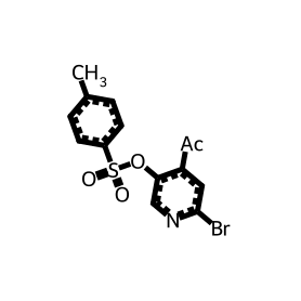 CC(=O)c1cc(Br)ncc1OS(=O)(=O)c1ccc(C)cc1